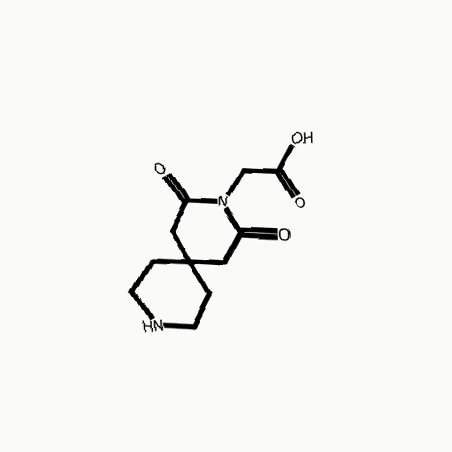 O=C(O)CN1C(=O)CC2(CCNCC2)CC1=O